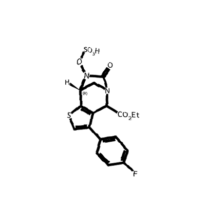 CCOC(=O)C1c2c(-c3ccc(F)cc3)csc2[C@H]2CN1C(=O)N2OS(=O)(=O)O